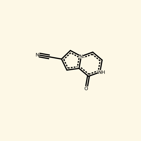 N#Cc1cc2c(=O)[nH]ccn2c1